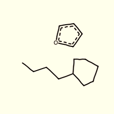 CCCCC1CCCCC1.c1ccoc1